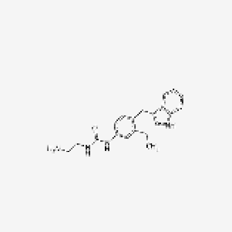 CCc1cc(NC(=O)NCCN)ccc1Cc1c[nH]c2ccccc12